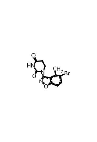 Cc1c(Br)ccc2onc(N3CCC(=O)NC3=O)c12